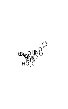 CC(C)(C)OC(=O)N[C@@H]1C[C@@H](NC(=O)OCc2ccccc2)CC[C@]1(O)CC(=O)O